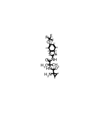 CC(C)(NC(=O)C1(N)CC1)C(=O)Nc1nc2ccc(OC(F)(F)F)cc2s1